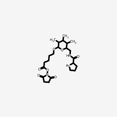 CC1C(CNC(=O)[CH]2CC[CH2][Ac]2)OC(OCCCCC(=O)ON2C(=O)CCC2=O)C(C)C1C